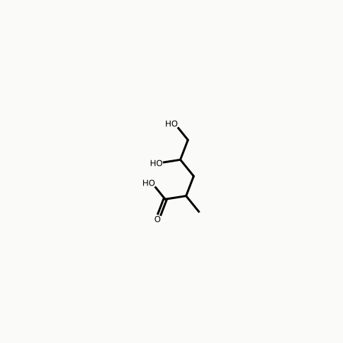 CC(CC(O)CO)C(=O)O